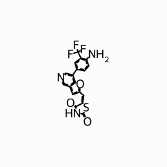 Nc1ccc(-c2cncc3cc(/C=C4/SC(=O)NC4=O)oc23)cc1C(F)(F)F